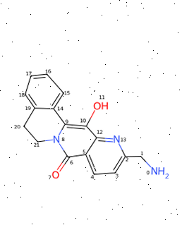 NCc1ccc2c(=O)n3c(c(O)c2n1)-c1ccccc1CC3